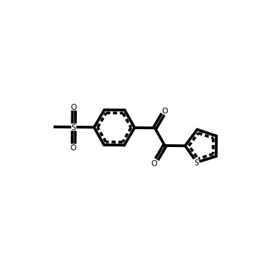 CS(=O)(=O)c1ccc(C(=O)C(=O)c2cccs2)cc1